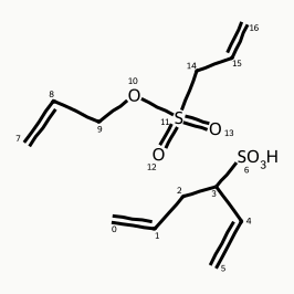 C=CCC(C=C)S(=O)(=O)O.C=CCOS(=O)(=O)CC=C